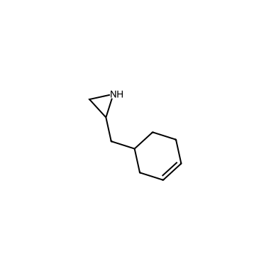 C1=CCC(CC2CN2)CC1